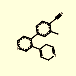 Cc1cc(-c2ccncc2C2=CCN=CC2)ccc1C#N